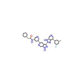 Cc1cc(F)cc(-c2cncc3[nH]c(-c4n[nH]c5cnc(-c6cncc(NC(=O)Cc7ccccc7)c6)cc45)nc23)c1